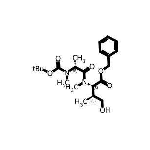 C[C@H](CO)[C@@H](C(=O)OCc1ccccc1)N(C)C(=O)[C@@H](C)N(C)C(=O)OC(C)(C)C